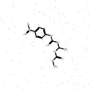 COC(=O)OC(C)OC(=O)Oc1ccc([N+](=O)[O-])cc1